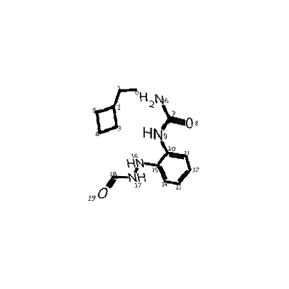 CCC1CCC1.NC(=O)Nc1ccccc1NNC=O